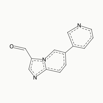 O=Cc1cnc2ccc(-c3cccnc3)cn12